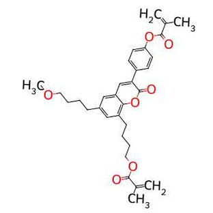 C=C(C)C(=O)OCCCCc1cc(CCCCOC)cc2cc(-c3ccc(OC(=O)C(=C)C)cc3)c(=O)oc12